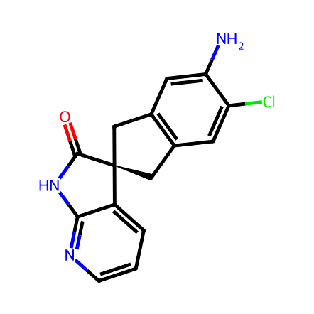 Nc1cc2c(cc1Cl)C[C@]1(C2)C(=O)Nc2ncccc21